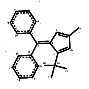 CC1=[C]C(=C(c2ccccc2)c2ccccc2)C(C(C)(C)C)=C1